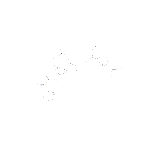 CO/N=C(\C(=O)N[C@@H]1C(=O)N2C(OC(=O)O)=C(CSc3nc(C)cc4nc(C(=O)O)nn34)CS[C@H]12)c1csc(N)n1